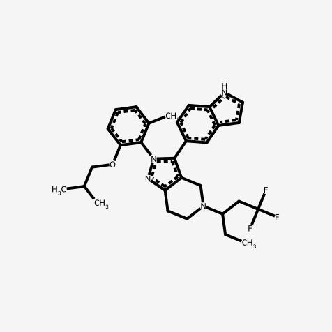 CCC(CC(F)(F)F)N1CCc2nn(-c3c(C)cccc3OCC(C)C)c(-c3ccc4[nH]ccc4c3)c2C1